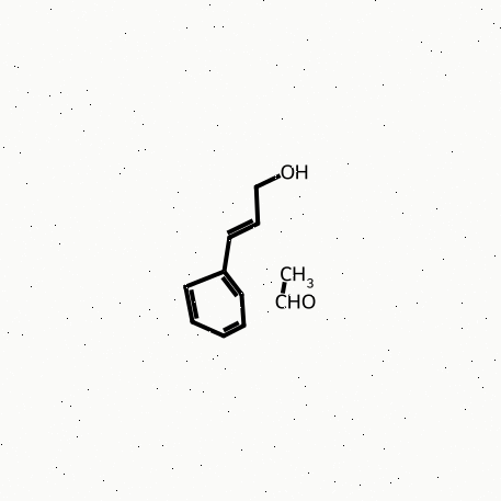 CC=O.OCC=Cc1ccccc1